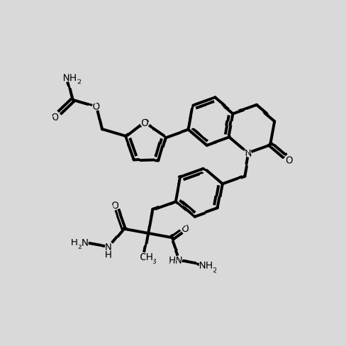 CC(Cc1ccc(CN2C(=O)CCc3ccc(-c4ccc(COC(N)=O)o4)cc32)cc1)(C(=O)NN)C(=O)NN